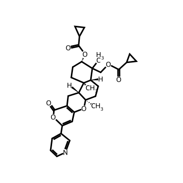 CC1(COC(=O)C2CC2)[C@@H](OC(=O)C2CC2)CC[C@]2(C)[C@H]3Cc4c(cc(-c5cccnc5)oc4=O)O[C@]3(C)CC[C@@H]12